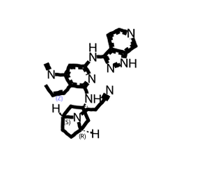 C=Nc1cc(Nc2n[nH]c3cnccc23)nc(N[C@@H]2C[C@H]3CC[C@@H](C2)N3CCC#N)c1/C=C\C